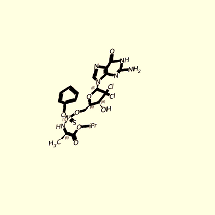 CC(C)OC(=O)[C@@H](C)N[P@](=S)(OC[C@H]1O[C@@H](n2cnc3c(=O)[nH]c(N)nc32)C(Cl)(Cl)[C@@H]1O)Oc1ccccc1